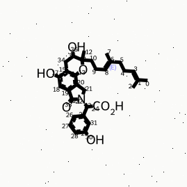 CC(C)=CCC/C(C)=C/CCC1(C)Oc2c(c(O)cc3c2CN(C(C(=O)O)c2cccc(O)c2)C3=O)CC1O